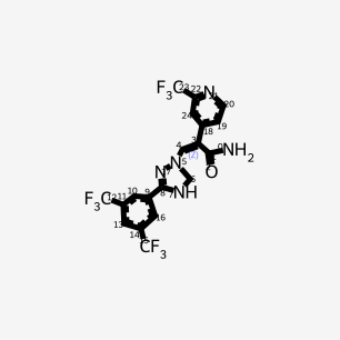 NC(=O)/C(=C\N1CNC(c2cc(C(F)(F)F)cc(C(F)(F)F)c2)=N1)c1ccnc(C(F)(F)F)c1